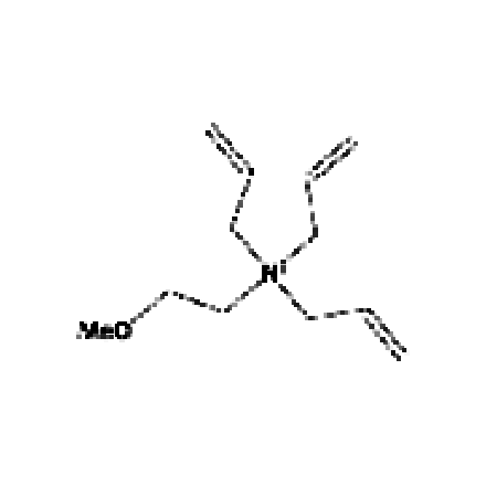 C=CC[N+](CC=C)(CC=C)CCOC